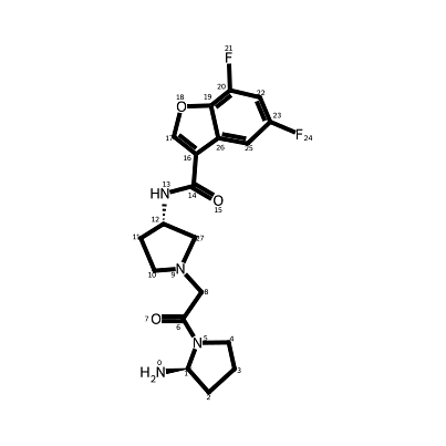 N[C@@H]1CCCN1C(=O)CN1CC[C@H](NC(=O)c2coc3c(F)cc(F)cc23)C1